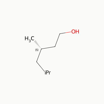 CC(C)C[C@H](C)CCO